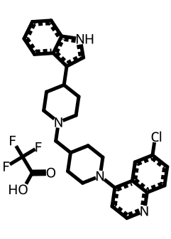 Clc1ccc2nccc(N3CCC(CN4CCC(c5c[nH]c6ccccc56)CC4)CC3)c2c1.O=C(O)C(F)(F)F